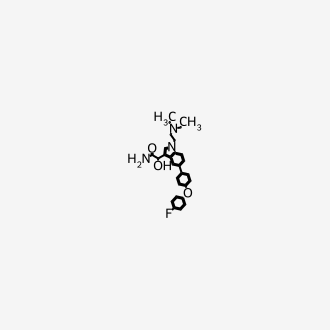 CCN(CC)CCn1cc(C(O)C(N)=O)c2cc(-c3ccc(Oc4ccc(F)cc4)cc3)ccc21